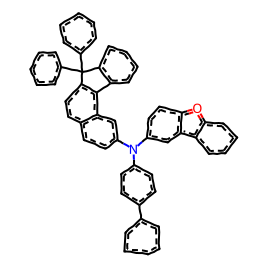 c1ccc(-c2ccc(N(c3ccc4ccc5c(c4c3)-c3ccccc3C5(c3ccccc3)c3ccccc3)c3ccc4oc5ccccc5c4c3)cc2)cc1